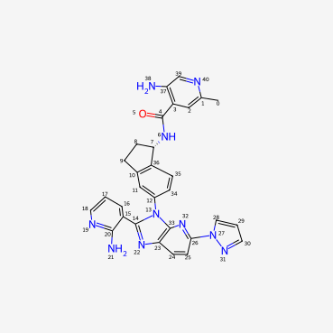 Cc1cc(C(=O)N[C@H]2CCc3cc(-n4c(-c5cccnc5N)nc5ccc(-n6cccn6)nc54)ccc32)c(N)cn1